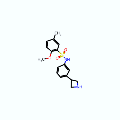 COc1ccc(C)cc1S(=O)(=O)Nc1cccc(C2CNC2)c1